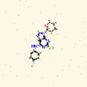 Fc1ccc(Nc2nc(Cl)nc3c2ncn3C2CCCCO2)cc1